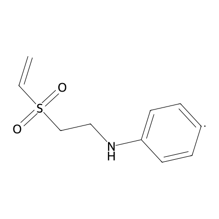 C=CS(=O)(=O)CCNc1cc[c]cc1